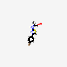 CC[C@H](CO)Nc1nc(-c2ccc(Br)cc2)cs1